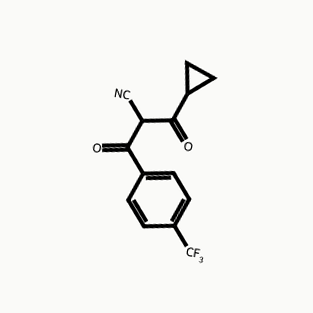 N#CC(C(=O)c1ccc(C(F)(F)F)cc1)C(=O)C1CC1